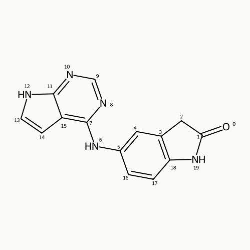 O=C1Cc2cc(Nc3ncnc4[nH]ccc34)ccc2N1